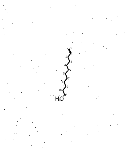 [CH]=CCCCCCCCCCCO